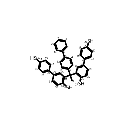 CC(c1ccc(-c2ccccc2)cc1)(c1cc(-c2ccc(S)cc2)ccc1S)c1cc(-c2ccc(S)cc2)ccc1S